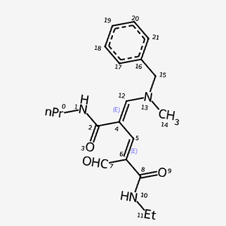 CCCNC(=O)C(/C=C(\C=O)C(=O)NCC)=C/N(C)Cc1ccccc1